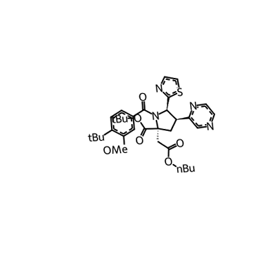 CCCCOC(=O)C[C@@]1(C(=O)OC(C)(C)C)C[C@H](c2cnccn2)[C@H](c2nccs2)N1C(=O)c1ccc(C(C)(C)C)c(OC)c1